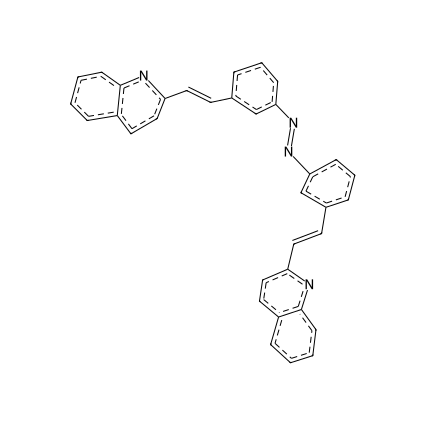 C(=Cc1ccc2ccccc2n1)c1cccc(N=Nc2cccc(C=Cc3ccc4ccccc4n3)c2)c1